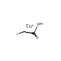 COC(=O)C[S-].[Cu+]